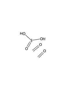 C=O.C=O.O=S(O)O